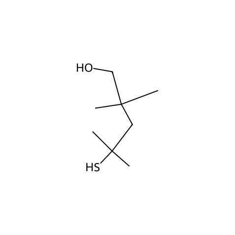 CC(C)(S)CC(C)(C)CO